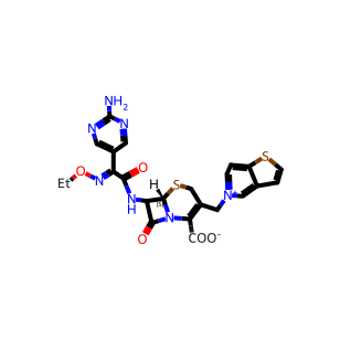 CCON=C(C(=O)NC1C(=O)N2C(C(=O)[O-])=C(C[n+]3ccc4sccc4c3)CS[C@@H]12)c1cnc(N)nc1